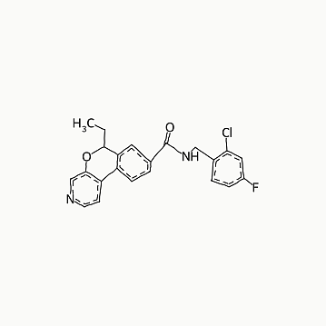 CCC1Oc2cnccc2-c2ccc(C(=O)NCc3ccc(F)cc3Cl)cc21